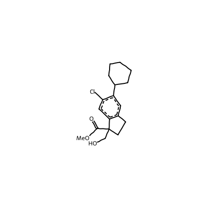 COC(=O)C1(CO)CCc2cc(C3CCCCC3)c(Cl)cc21